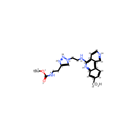 CC(C)(C)OC(=O)NCCc1cn(CCNc2nc3cc(C(=O)O)ccc3c3cnccc23)nn1